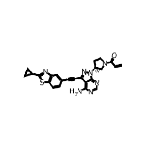 C=CC(=O)N1CC[C@H](n2nc(C#Cc3ccc4sc(C5CC5)nc4c3)c3c(N)ncnc32)C1